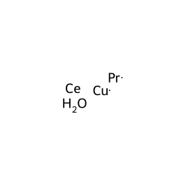 O.[Ce].[Cu].[Pr]